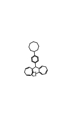 ClC1=CC=CCC=C1C(C1=CC=CCC=C1)c1ccc(C2CCCCCCC2)cc1